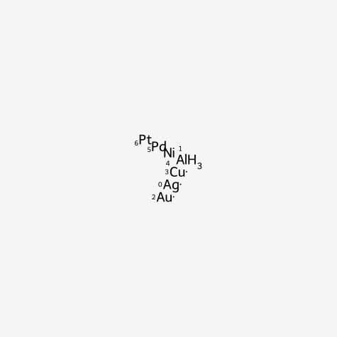 [Ag].[AlH3].[Au].[Cu].[Ni].[Pd].[Pt]